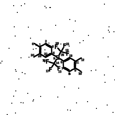 Cc1ccc([Si](c2ccc(C)c(C)c2)(C(F)(F)F)C(F)(F)F)cc1C